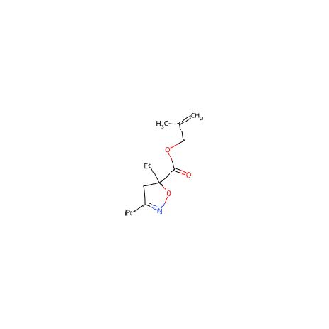 C=C(C)COC(=O)C1(CC)CC(C(C)C)=NO1